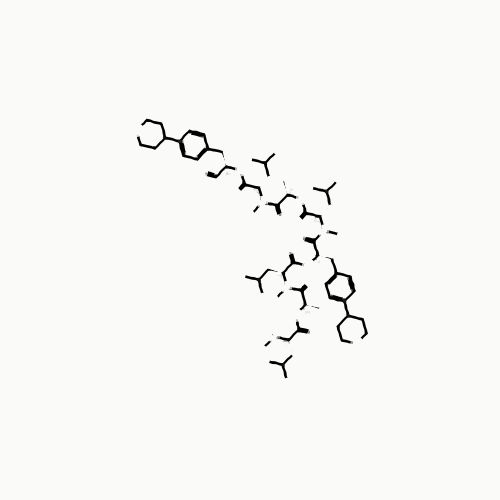 CN[C@@H](CC(C)C)C(=O)O[C@H](C)C(=O)N(C)[C@@H](CC(C)C)C(=O)O[C@H](Cc1ccc(C2CCOCC2)cc1)C(=O)N(C)[C@@H](CC(C)C)C(=O)O[C@H](C)C(=O)N(C)[C@@H](CC(C)C)C(=O)O[C@@H](C=O)Cc1ccc(C2CCOCC2)cc1